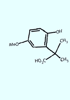 COc1ccc(O)c(C(C)(C)C(=O)O)c1